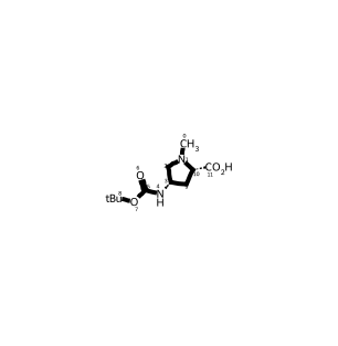 CN1C[C@@H](NC(=O)OC(C)(C)C)C[C@H]1C(=O)O